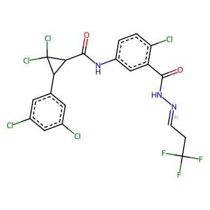 O=C(N/N=C/CC(F)(F)F)c1cc(NC(=O)C2C(c3cc(Cl)cc(Cl)c3)C2(Cl)Cl)ccc1Cl